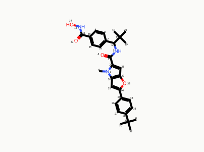 Cn1c(C(=O)NC(c2ccc(C(=O)NO)cc2)C(C)(C)C)cc2oc(-c3ccc(C(C)(C)C)cc3)cc21